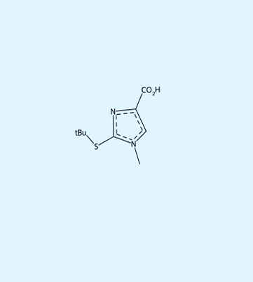 Cn1cc(C(=O)O)nc1SC(C)(C)C